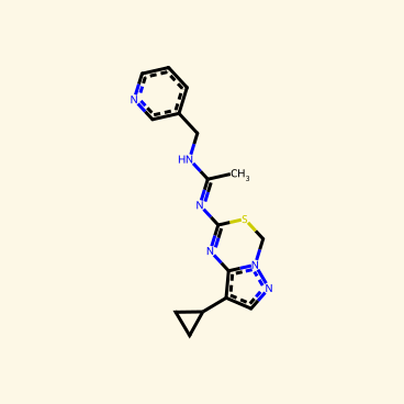 C/C(=N\C1=Nc2c(C3CC3)cnn2CS1)NCc1cccnc1